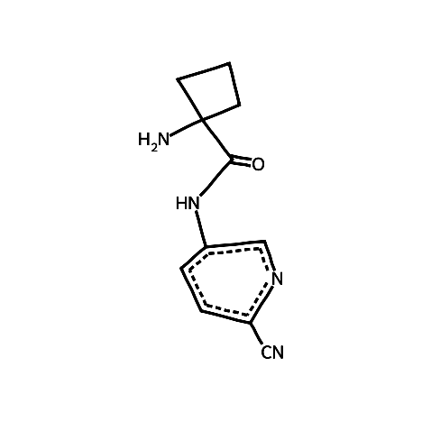 N#Cc1ccc(NC(=O)C2(N)CCC2)cn1